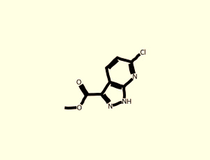 COC(=O)c1n[nH]c2nc(Cl)ccc12